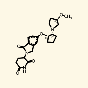 CO[C@@H]1CCN([C@@H]2CCC[C@H]2Oc2ccc3c(c2)CN(C2CCC(=O)NC2=O)C3=O)C1